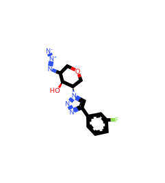 [N-]=[N+]=NC1COC[C@H](n2cc(-c3cccc(F)c3)nn2)[C@H]1O